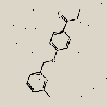 CCC(=O)c1ccc(OCc2cccc(C)n2)cc1